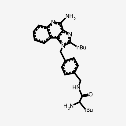 CCCCc1nc2c(N)nc3ccccc3c2n1Cc1ccc(CNC(=O)C(N)C(C)CC)cc1